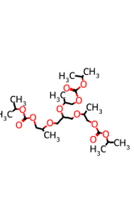 CC(C)OC(=O)OCC(C)OCC(COC(C)COC(=O)OC(C)C)OC(C)COC(=O)OC(C)C